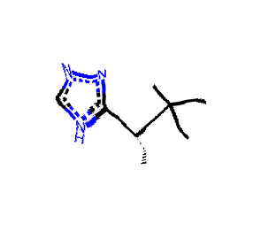 C[C@H](c1nnc[nH]1)C(C)(C)C